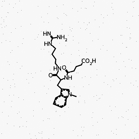 Cn1cc(CC(NC(=O)CCCC(=O)O)C(=O)NCCCCNC(=N)N)c2ccccc21